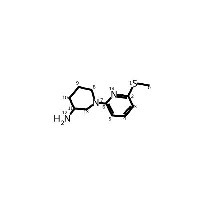 CSc1cccc(N2CCCC(N)C2)n1